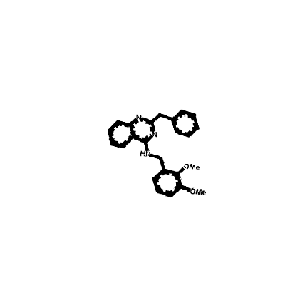 COc1cccc(CNc2nc(Cc3ccccc3)nc3ccccc23)c1OC